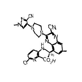 Cc1cc([C@@H](C)Nc2ccc(Cl)nc2C(=O)O)c2nc(N3CCN(c4cn(C)nc4C#N)CC3)c(C#N)nc2c1